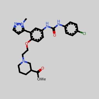 COC(=O)C1CCCN(CCOc2ccc(NC(=O)Nc3ccc(Cl)cc3)cc2-c2ccnn2C)C1